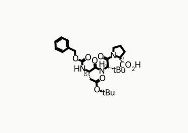 CC(C)(C)OC(=O)C[C@H](NC(=O)OCc1ccccc1)C(=O)N[C@H](C(=O)N1CCC[C@@H]1C(=O)O)C(C)(C)C